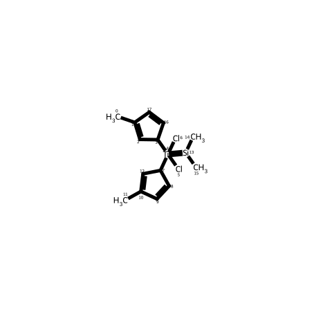 CC1=C[CH]([Ti]([Cl])([Cl])([CH]2C=CC(C)=C2)=[Si](C)C)C=C1